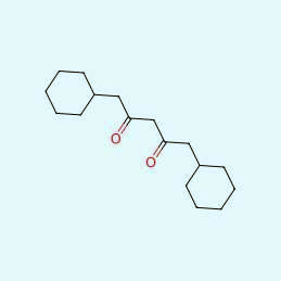 O=C(CC(=O)CC1CCCCC1)CC1CCCCC1